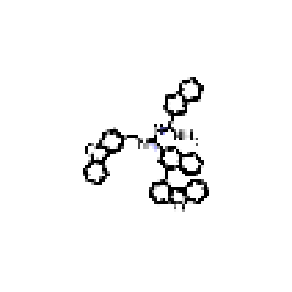 N/C(=N\C(=N/Cc1ccc2oc3ccccc3c2c1)c1cc(-c2cccc3oc4ccccc4c23)c2ccccc2c1)c1ccc2ccccc2c1